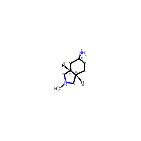 CN1C[C@H]2CC[C@H](N)C[C@H]2C1